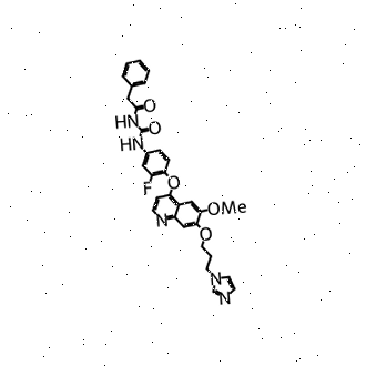 COc1cc2c(Oc3ccc(NC(=O)NC(=O)Cc4ccccc4)cc3F)ccnc2cc1OCCCn1ccnc1